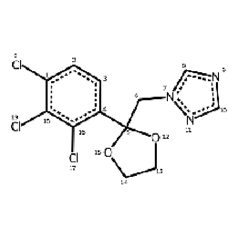 Clc1ccc(C2(Cn3cncn3)OCCO2)c(Cl)c1Cl